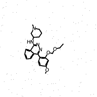 CCOCOc1cc(OC)ccc1-c1nnc(NC2CCCN(C)C2)c2ccccc12